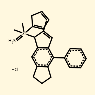 CC1=Cc2c(cc3c(c2-c2ccccc2)CCC3)[CH]1[Zr]([CH3])([CH3])(=[SiH2])[C]1=CC=CC1.Cl